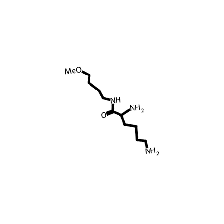 COCCCCNC(=O)C(N)CCCCN